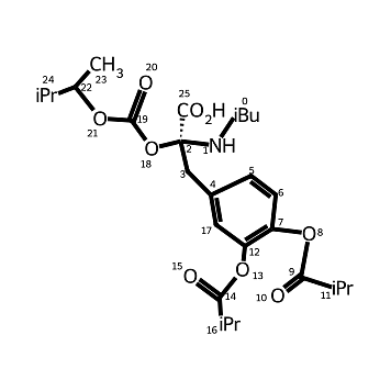 CCC(C)N[C@@](Cc1ccc(OC(=O)C(C)C)c(OC(=O)C(C)C)c1)(OC(=O)OC(C)C(C)C)C(=O)O